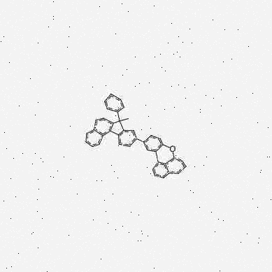 CC1(c2ccccc2)c2cc(-c3ccc4c(c3)-c3cccc5cccc(c35)O4)ccc2-c2c1ccc1ccccc21